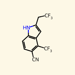 N#Cc1ccc2[nH]c(CC(F)(F)F)cc2c1C(F)(F)F